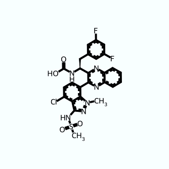 Cn1nc(NS(C)(=O)=O)c2c(Cl)ccc(-c3nc4ccccc4nc3[C@H](Cc3cc(F)cc(F)c3)NC(=O)O)c21